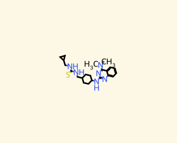 CN(C)c1nc(NC2CCC(CNC(=S)NCC3CC3)CC2)nc2ccccc12